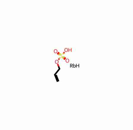 C=CCOS(=O)(=O)O.[RbH]